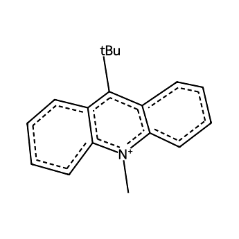 C[n+]1c2ccccc2c(C(C)(C)C)c2ccccc21